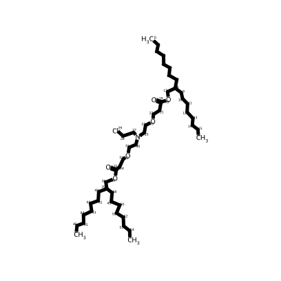 CCCCCCCCC(CCCCCCCC)COC(=O)CCOCCN(CCCl)CCOCCC(=O)OCC(CCCCCCCC)CCCCCCCC